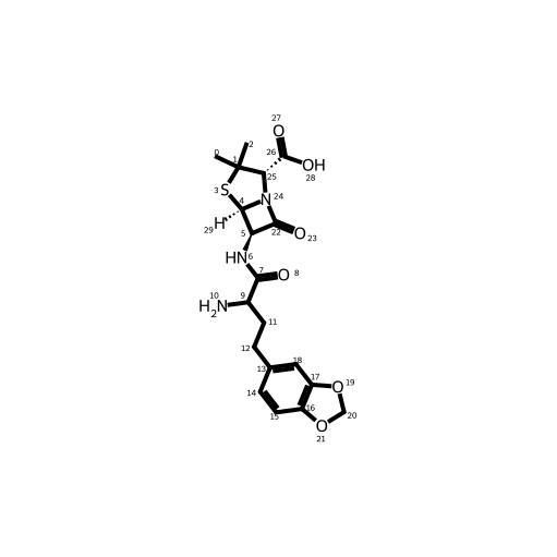 CC1(C)S[C@@H]2[C@H](NC(=O)C(N)CCc3ccc4c(c3)OCO4)C(=O)N2[C@H]1C(=O)O